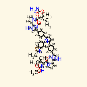 CCC(C)[C@H](OC(N)=O)C(=O)N1CCC[C@H]1c1nc(-c2ccc(-c3ccc(-c4ccc(-c5c[nH]c([C@@H]6CCCN6C(=O)[C@@H](NC(=O)OC)C(C)C)n5)cc4)n3-c3ccc4sc(C)nc4c3)cc2)c[nH]1